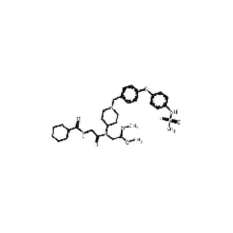 COC(CN(C(=O)CNC(=O)C1CCCCC1)C1CCN(Cc2ccc(Oc3ccc(NS(C)(=O)=O)cc3)cc2)CC1)OC